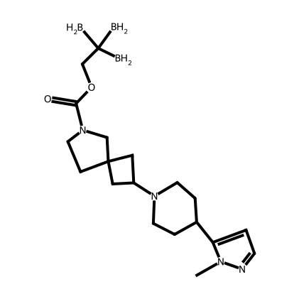 BC(B)(B)COC(=O)N1CCC2(CC(N3CCC(c4ccnn4C)CC3)C2)C1